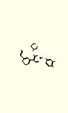 CCOC(=O)/C=C/C1=CC(c2cnc(Nc3ccc(F)c(Cl)c3)nc2NC2CCOC2)=CCC1